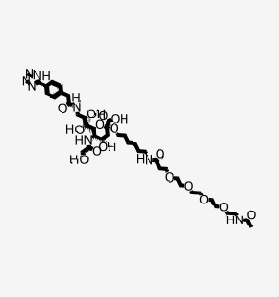 CC(=O)NCCOCCOCCOCCOCCC(=O)NCCCCCCO[C@]1(C(=O)O)C[C@H](O)[C@@H](NC(=O)CO)[C@H]([C@H](O)[C@H](O)CNC(=O)Cc2ccc(-c3nnn[nH]3)cc2)O1